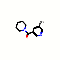 CC(C)(C)c1cncc(C(=O)N2CCCCC2)c1